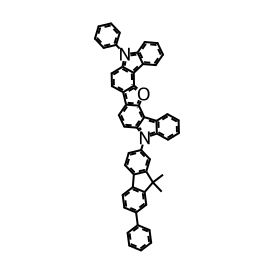 CC1(C)c2cc(-c3ccccc3)ccc2-c2ccc(-n3c4ccccc4c4c5oc6c(ccc7c6c6ccccc6n7-c6ccccc6)c5ccc43)cc21